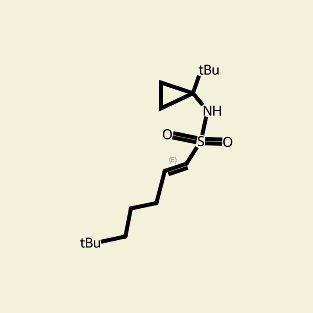 CC(C)(C)CCC/C=C/S(=O)(=O)NC1(C(C)(C)C)CC1